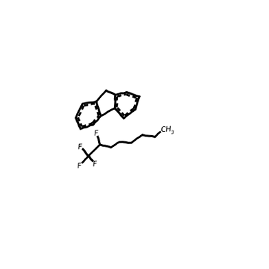 CCCCCCC(F)C(F)(F)F.c1ccc2c(c1)Cc1ccccc1-2